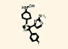 Nc1nccc(-c2c(-c3ccc(F)cc3)ncn2C2CCC(NO)CC2)n1